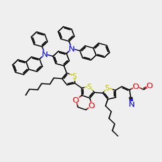 CCCCCCc1cc(-c2sc(-c3sc(/C=C(\C#N)OC=O)cc3CCCCCC)c3c2OCCO3)sc1-c1cc(N(c2ccccc2)c2ccc3ccccc3c2)cc(N(c2ccccc2)c2ccc3ccccc3c2)c1